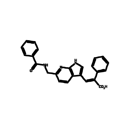 O=C(O)C(=Cc1c[nH]c2nc(CNC(=O)c3ccccc3)ccc12)c1ccccc1